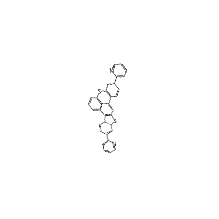 C1=CC2c3c(cc4c5c(cccc35)SC3=C4C=CC(c4ccccn4)C3)SC2C=C1c1ccccn1